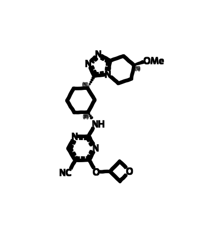 CO[C@H]1CCn2c(nnc2[C@H]2CCC[C@@H](Nc3ncc(C#N)c(OC4COC4)n3)C2)C1